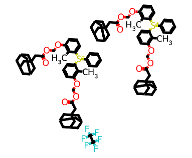 Cc1c(OCOC(=O)CC23CC4CC(CC(C4)C2)C3)cccc1[S+](c1ccccc1)c1cccc(OCOC(=O)CC23CC4CC(CC(C4)C2)C3)c1C.Cc1c(OCOC(=O)CC23CC4CC(CC(C4)C2)C3)cccc1[S+](c1ccccc1)c1cccc(OCOC(=O)CC23CC4CC(CC(C4)C2)C3)c1C.FC(F)(F)C(F)(F)F